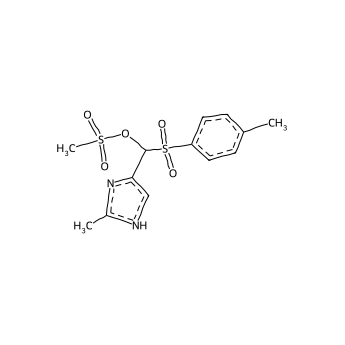 Cc1ccc(S(=O)(=O)C(OS(C)(=O)=O)c2c[nH]c(C)n2)cc1